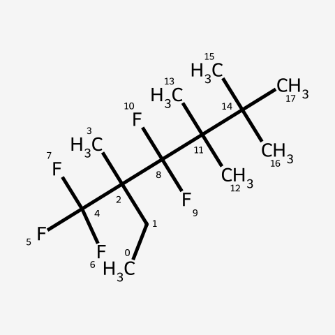 CCC(C)(C(F)(F)F)C(F)(F)C(C)(C)C(C)(C)C